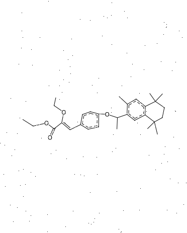 CCOC(=O)C(=Cc1ccc(OC(C)c2cc3c(cc2C)C(C)(C)CCC3(C)C)cc1)OCC